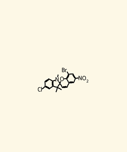 CN1c2ccc(Cl)cc2C(C)(C)C12C=Cc1cc([N+](=O)[O-])cc(Br)c1O2